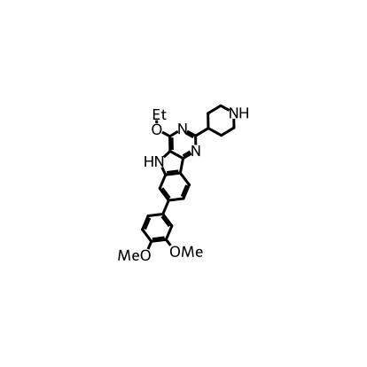 CCOc1nc(C2CCNCC2)nc2c1[nH]c1cc(-c3ccc(OC)c(OC)c3)ccc12